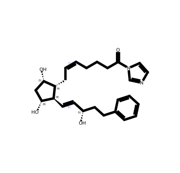 O=C(CCC/C=C\C[C@@H]1[C@@H](/C=C/[C@@H](O)CCc2ccccc2)[C@H](O)C[C@@H]1O)n1ccnc1